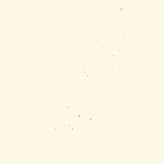 CC(C)OC(=O)Nc1ccc(-c2c(C(F)(F)F)c3ccc(OC4CCOCC4)cc3n2C2CCC2)cc1